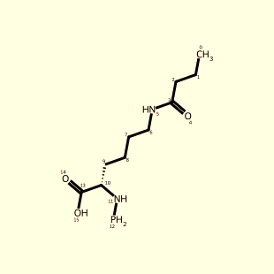 CCCC(=O)NCCCC[C@H](NP)C(=O)O